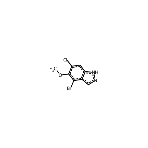 FC(F)(F)Oc1c(Cl)cc2[nH]ncc2c1Br